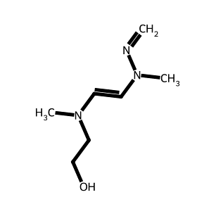 C=NN(C)/C=C/N(C)CCO